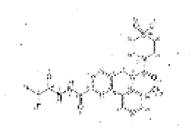 O=C(NNC(=O)C(F)F)c1ccc(CN(C(=O)N2CCS(=O)(=O)CC2)c2ccccc2C(F)(F)F)cc1